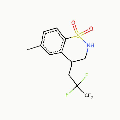 Cc1ccc2c(c1)C(CC(F)(F)C(F)(F)F)CNS2(=O)=O